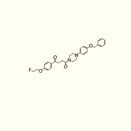 O=C(CCC(=O)N1CCN(c2ccc(OCc3ccccc3)cc2)CC1)c1ccc(OCCF)cc1